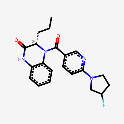 CCC[C@H]1C(=O)Nc2ccccc2N1C(=O)c1ccc(N2CCC(F)C2)nc1